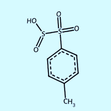 Cc1ccc(S(=O)(=O)S(=O)O)cc1